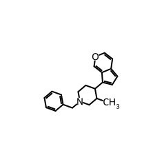 CC1CN(Cc2ccccc2)CCC1c1ccc2ccocc1-2